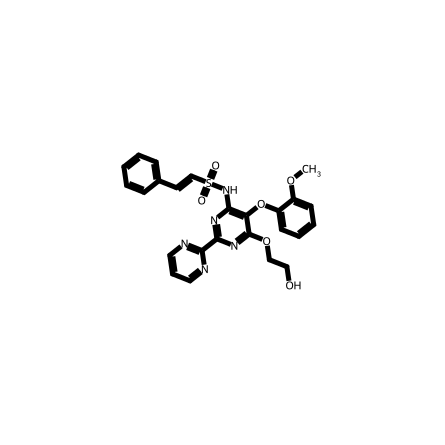 COc1ccccc1Oc1c(NS(=O)(=O)C=Cc2ccccc2)nc(-c2ncccn2)nc1OCCO